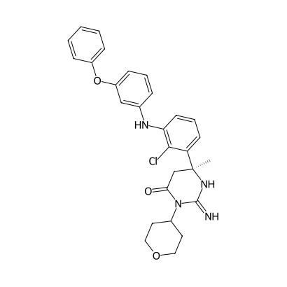 C[C@@]1(c2cccc(Nc3cccc(Oc4ccccc4)c3)c2Cl)CC(=O)N(C2CCOCC2)C(=N)N1